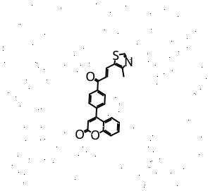 Cc1ncsc1C=CC(=O)c1ccc(-c2cc(=O)oc3ccccc23)cc1